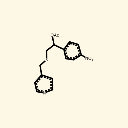 CC(=O)OC(CSCc1ccncc1)c1ccc([N+](=O)[O-])cc1